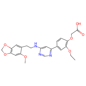 CCOc1cc(-c2cc(NCCc3cc4c(cc3OC)OCO4)ncn2)ccc1OCC(=O)O